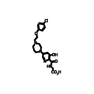 O=C(O)CNC(=O)c1ncc(N2CCCN(CCOc3ccc(Cl)cc3)CC2)cc1O